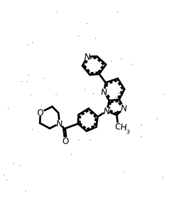 Cc1nc2ccc(-c3ccncc3)nc2n1-c1ccc(C(=O)N2CCOCC2)cc1